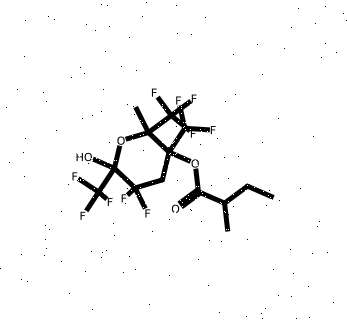 CCC(C)C(=O)OC1(C(F)F)CC(F)(F)C(O)(C(F)(F)F)OC1(C)C(F)(F)F